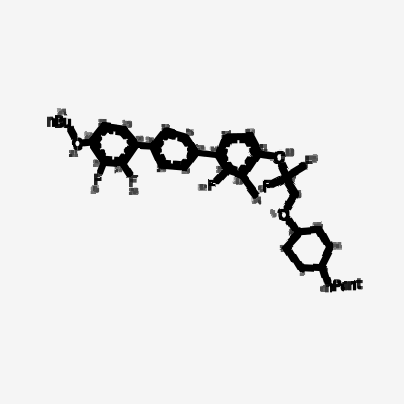 CCCCCC1CCC(OCC(F)(F)Oc2ccc(-c3ccc(-c4ccc(OCCCC)c(F)c4F)cc3)c(F)c2C)CC1